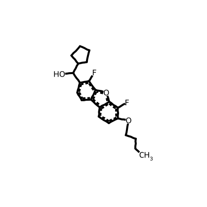 CCCCOc1ccc2c(oc3c(F)c(C(O)C4CCCC4)ccc32)c1F